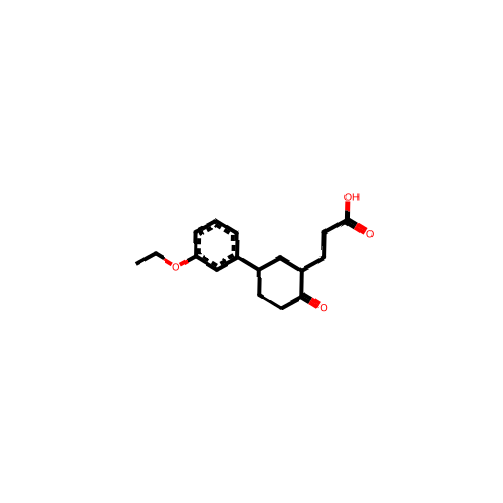 CCOc1cccc(C2CCC(=O)C(CCC(=O)O)C2)c1